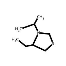 CCC1CSCN1C(C)C